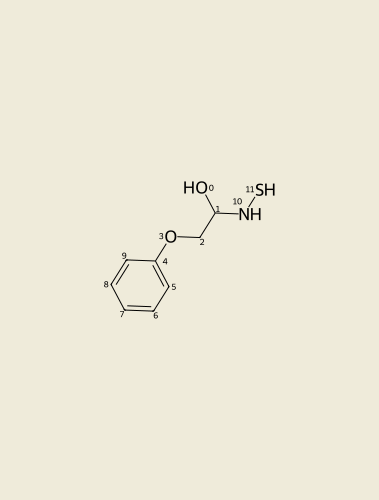 OC(COc1ccccc1)NS